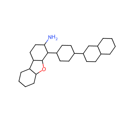 NC1CCC2C3CCCCC3OC2C1C1CCC(C2CCC3CCCCC3C2)CC1